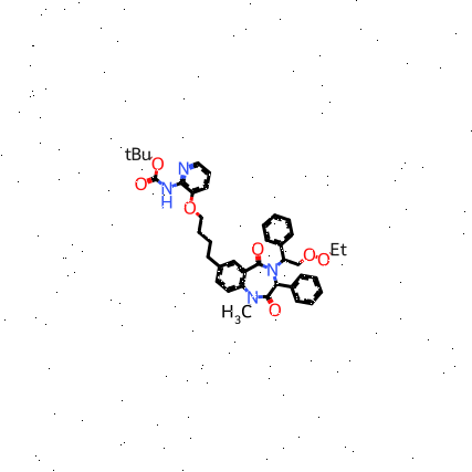 CCOOCC(c1ccccc1)N1C(=O)c2cc(CCCCOc3cccnc3NC(=O)OC(C)(C)C)ccc2N(C)C(=O)C1c1ccccc1